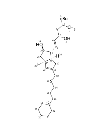 CCCC[C@H](C)C[C@H](O)/C=C/[C@@H]1[C@H]2CC(CSCCCN3CCCCC3)=C[C@H]2C[C@H]1O